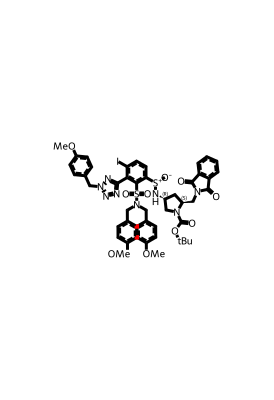 COc1ccc(CN(Cc2ccc(OC)cc2)S(=O)(=O)c2c([S+]([O-])N[C@@H]3C[C@@H](CN4C(=O)c5ccccc5C4=O)N(C(=O)OC(C)(C)C)C3)ccc(I)c2-c2nnn(Cc3ccc(OC)cc3)n2)cc1